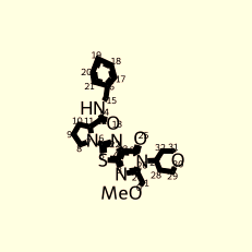 COCc1nc2sc(N3CCCC3C(=O)NCc3ccccc3)nc2c(=O)n1C1CCOCC1